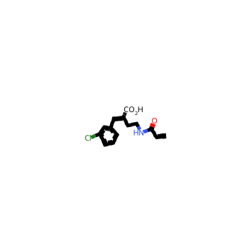 C=CC(=O)NCC/C(=C\c1cccc(Cl)c1)C(=O)O